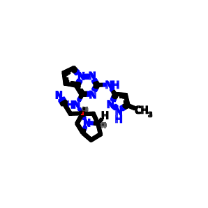 Cc1cc(Nc2nc(N[C@@H]3CC4CC[C@@H](C3)N4CCC#N)c3cccn3n2)n[nH]1